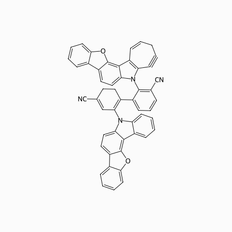 N#CC1=CC(n2c3ccccc3c3c4oc5ccccc5c4ccc32)=C(c2cccc(C#N)c2-n2c3c(c4c5oc6ccccc6c5ccc42)C=CCC#C3)CC1